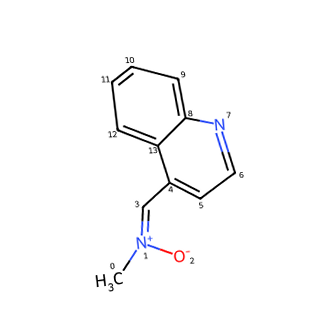 C[N+]([O-])=Cc1ccnc2ccccc12